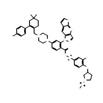 CC1(C)CCC(CN2CCN(c3ccc(C(=O)NS(=O)(=O)c4ccc(NC5CCN(S(C)(=O)=O)C5)c([N+](=O)[O-])c4)c(-n4ncc5nc6[nH]ccc6cc54)c3)CC2)=C(c2ccc(Cl)cc2)C1